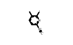 [C-]#[N+]c1ccc(C)c(I)n1